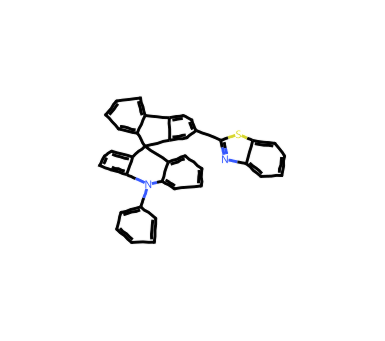 c1ccc(N2c3ccccc3C3(c4ccccc4-c4ccc(-c5nc6ccccc6s5)cc43)c3ccccc32)cc1